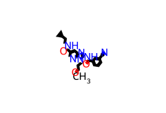 COCCCn1c(NC(=O)c2cccc(C#N)c2)nc2cc(C(=O)NCCC3CC3)cnc21